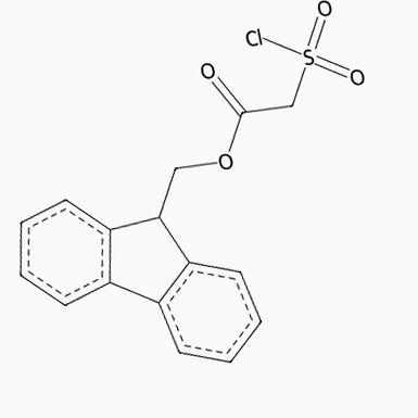 O=C(CS(=O)(=O)Cl)OCC1c2ccccc2-c2ccccc21